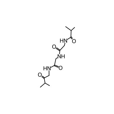 CC(C)C(=O)CNC(=O)CNC(=O)CNC(=O)C(C)C